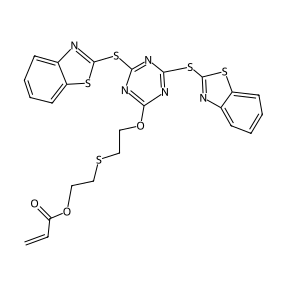 C=CC(=O)OCCSCCOc1nc(Sc2nc3ccccc3s2)nc(Sc2nc3ccccc3s2)n1